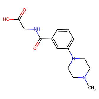 CN1CCN(c2cccc(C(=O)NCC(=O)O)c2)CC1